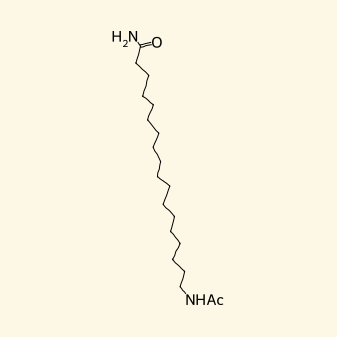 CC(=O)NCCCCCCCCCCCCCCCCCC(N)=O